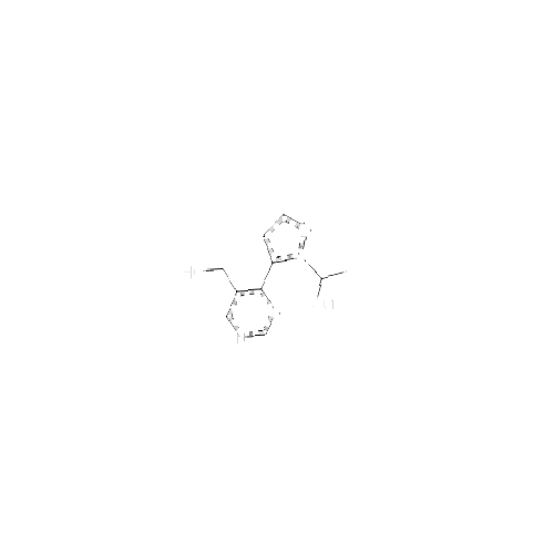 CC(C)n1nccc1-c1ncncc1CO